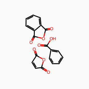 O=C(O)c1ccccc1.O=C1C=CC(=O)O1.O=C1OC(=O)c2ccccc21